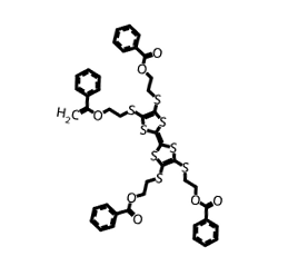 C=C(OCCSC1=C(SCCOC(=O)c2ccccc2)SC(=C2SC(SCCOC(=O)c3ccccc3)=C(SCCOC(=O)c3ccccc3)S2)S1)c1ccccc1